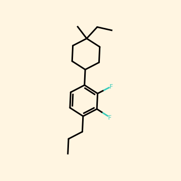 CCCc1ccc(C2CCC(C)(CC)CC2)c(F)c1F